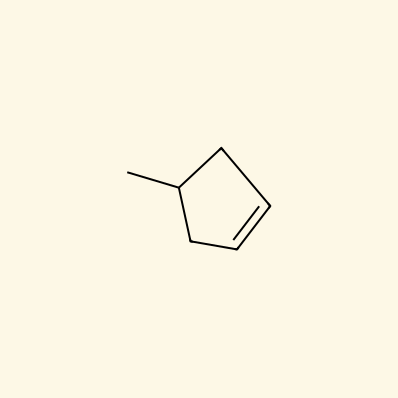 CC1CC=CC1